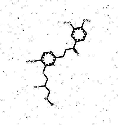 COc1ccc(C(=O)CCc2ccc(OC)c(OCC(O)CNC(C)C)c2)cc1OC